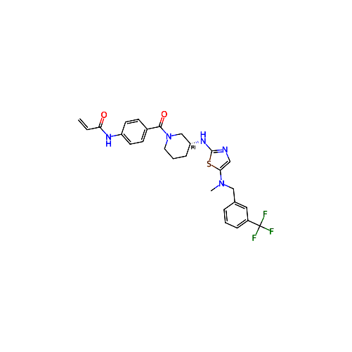 C=CC(=O)Nc1ccc(C(=O)N2CCC[C@@H](Nc3ncc(N(C)Cc4cccc(C(F)(F)F)c4)s3)C2)cc1